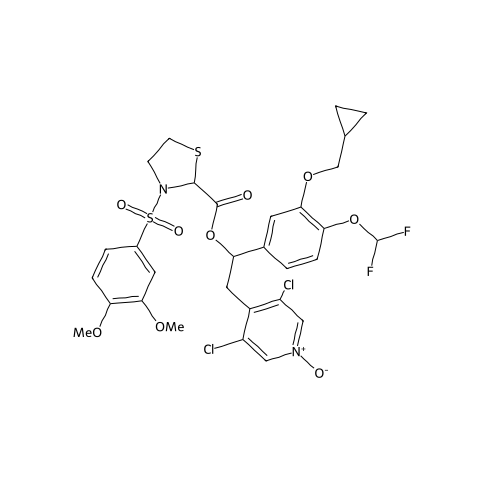 COc1ccc(S(=O)(=O)N2CCSC2C(=O)OC(Cc2c(Cl)c[n+]([O-])cc2Cl)c2ccc(OC(F)F)c(OCC3CC3)c2)cc1OC